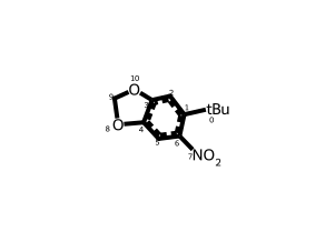 CC(C)(C)c1cc2c(cc1[N+](=O)[O-])OCO2